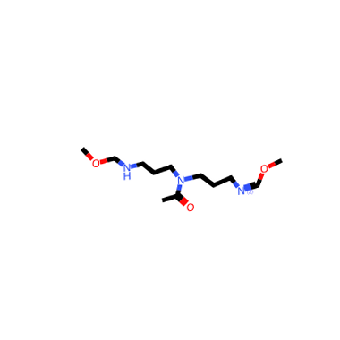 CO/C=N\CCCN(CCCNCOC)C(C)=O